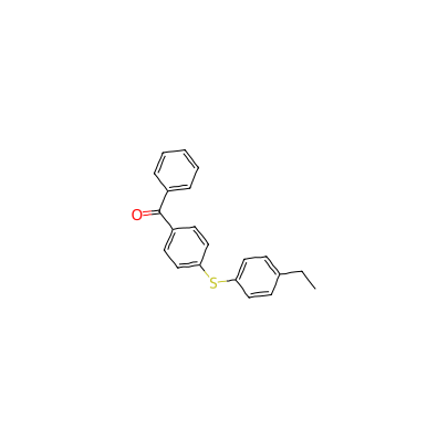 CCc1ccc(Sc2ccc(C(=O)c3ccccc3)cc2)cc1